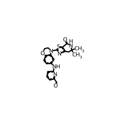 CC1(C)Cc2nc(N3CCOc4ccc(Nc5cccc(C=O)n5)cc43)sc2C(=O)N1